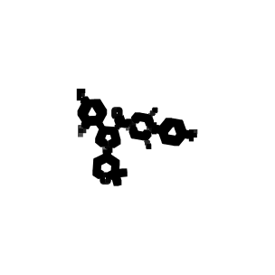 C[C@@H]1CN(C(=O)[C@@H]2CN(C3CCOC(C)(C)C3)C[C@H]2c2ccc(F)cc2F)C[C@H](C)N1c1ccc(F)cc1